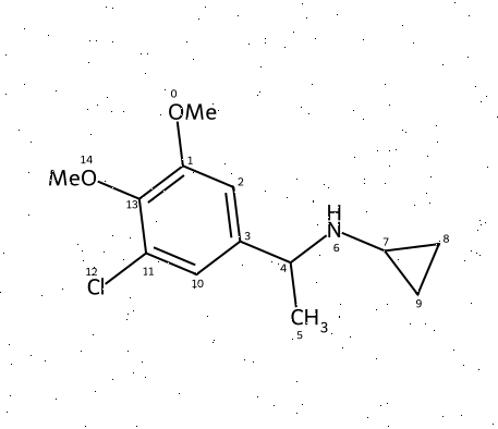 COc1cc(C(C)NC2CC2)cc(Cl)c1OC